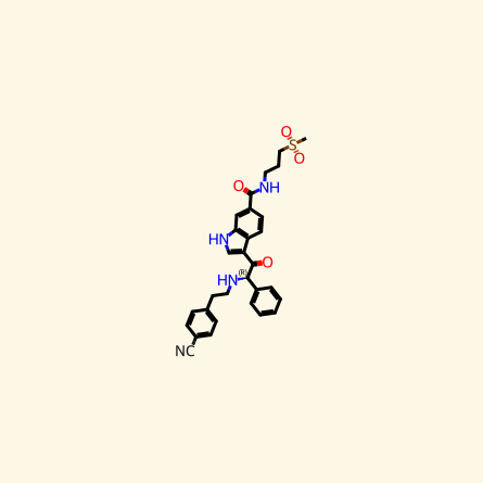 CS(=O)(=O)CCCNC(=O)c1ccc2c(C(=O)[C@H](NCCc3ccc(C#N)cc3)c3ccccc3)c[nH]c2c1